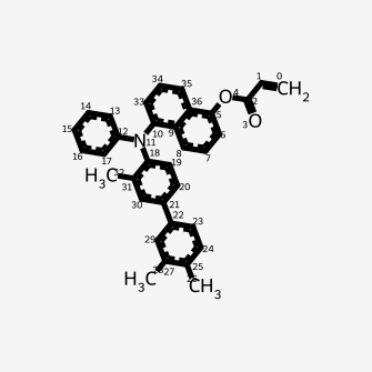 C=CC(=O)Oc1cccc2c(N(c3ccccc3)c3ccc(-c4ccc(C)c(C)c4)cc3C)cccc12